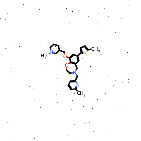 Cc1cccc(CN2CCOc3c(cc(-c4ccc(C)s4)cc3OCC3CCCN(C)C3)C2)n1